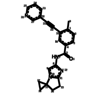 Cc1ccc(C(=O)Nc2cn3c(n2)CCC32CC2)cc1C#Cc1cccnc1